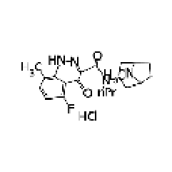 CCCN(C(=O)c1n[nH]c2c(C)ccc(F)c2c1=O)C1CC2CCC(C1)N2C.Cl